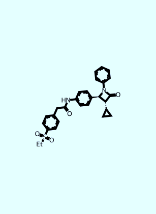 CCS(=O)(=O)c1ccc(CC(=O)Nc2ccc([C@@H]3[C@@H](C4CC4)C(=O)N3c3ccccc3)cc2)cc1